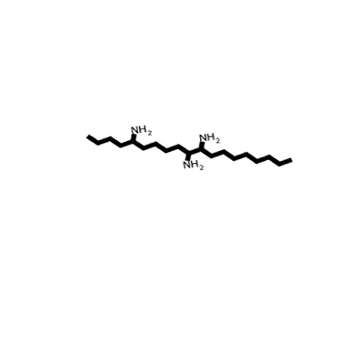 CCCCCCCCC(N)C(N)CCCCC(N)CCCC